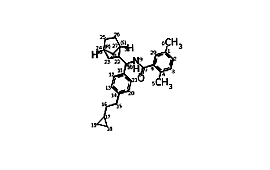 Cc1ccc(C)c(C(=O)N[C@@H](c2ccc(CCC3CC3)cc2)C2C[C@@H]3CC[C@H]2C3)c1